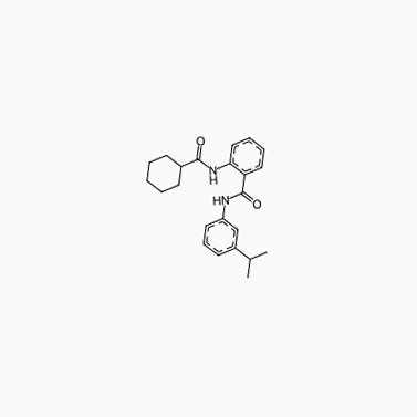 CC(C)c1cccc(NC(=O)c2ccccc2NC(=O)C2CCCCC2)c1